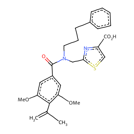 C=C(C)c1c(OC)cc(C(=O)N(CCCc2ccccc2)Cc2nc(C(=O)O)cs2)cc1OC